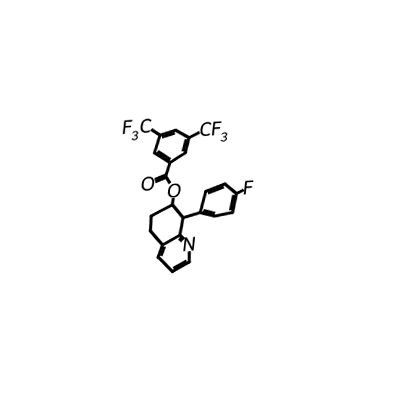 O=C(OC1CCc2cccnc2C1c1ccc(F)cc1)c1cc(C(F)(F)F)cc(C(F)(F)F)c1